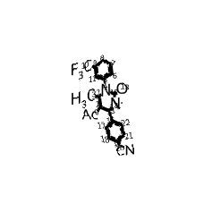 CC(=O)C1=C(C)N(c2cccc(C(F)(F)F)c2)C(=O)[N]C1c1ccc(C#N)cc1